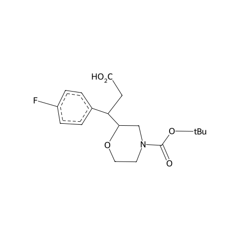 CC(C)(C)OC(=O)N1CCOC(C(CC(=O)O)c2ccc(F)cc2)C1